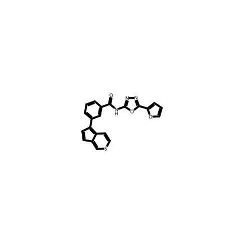 O=C(Nc1nnc(-c2ccco2)o1)c1cccc(-c2ccc3csccc2-3)c1